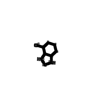 ClC1CCCC2NONC12